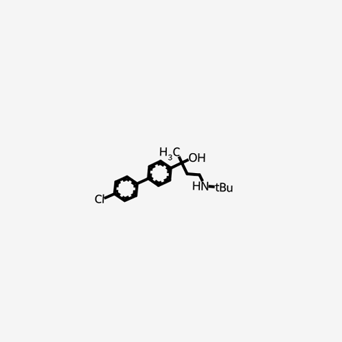 CC(C)(C)NCCC(C)(O)c1ccc(-c2ccc(Cl)cc2)cc1